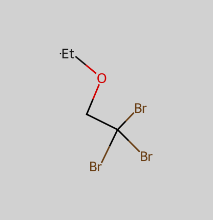 C[CH]OCC(Br)(Br)Br